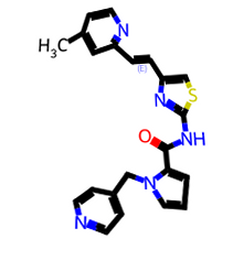 Cc1ccnc(/C=C/c2csc(NC(=O)c3cccn3Cc3ccncc3)n2)c1